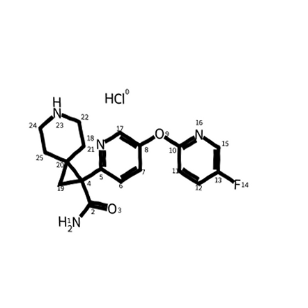 Cl.NC(=O)C1(c2ccc(Oc3ccc(F)cn3)cn2)CC12CCNCC2